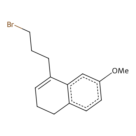 COc1ccc2c(c1)C(CCCBr)=CCC2